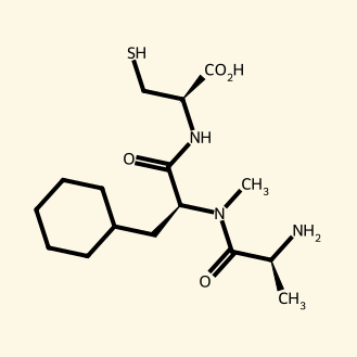 C[C@H](N)C(=O)N(C)[C@@H](CC1CCCCC1)C(=O)N[C@@H](CS)C(=O)O